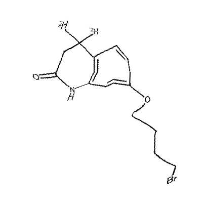 [2H]C1([2H])CC(=O)Nc2cc(OCCCCBr)ccc21